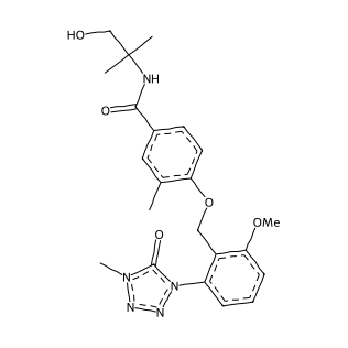 COc1cccc(-n2nnn(C)c2=O)c1COc1ccc(C(=O)NC(C)(C)CO)cc1C